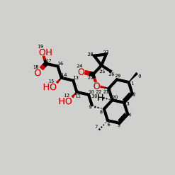 C[C@H]1C=C2C=C[C@H](C)[C@H](CC[C@@H](O)C[C@@H](O)CC(=O)O)[C@H]2[C@@H](OC(=O)C2(C)CC2)C1